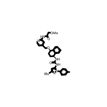 COCC(=O)Nc1cc(CO[C@@H]2CC[C@H](NC(=O)Nc3cc(C(C)(C)C)nn3-c3ccc(C)cc3)c3ccccc32)ccn1